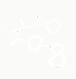 C[C@H](CC(=N)C1CCCC1)N(C)C(=O)c1ccc(-n2ncc3ccccc32)cc1